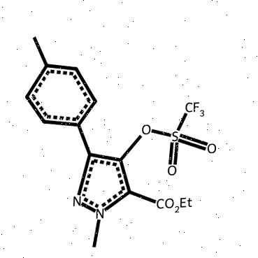 CCOC(=O)c1c(OS(=O)(=O)C(F)(F)F)c(-c2ccc(C)cc2)nn1C